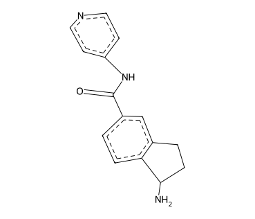 NC1CCc2cc(C(=O)Nc3ccncc3)ccc21